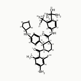 Bc1cc(C)c(C(=O)N2CCC[C@H](C(=O)Nc3ccc(C(B)(B)O)c(C(F)(F)F)c3)[C@@H]2c2ccc(NC3CCCC3)cc2)c(F)c1